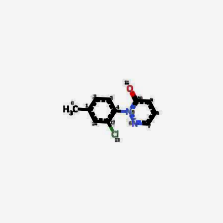 Cc1[c]cc(-n2ncccc2=O)c(Cl)c1